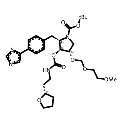 COCCOCO[C@H]1CN(C(=O)OC(C)(C)C)[C@H](Cc2ccc(-c3cncs3)cc2)[C@@H]1OC(=O)NCC[C@@H]1CCCO1